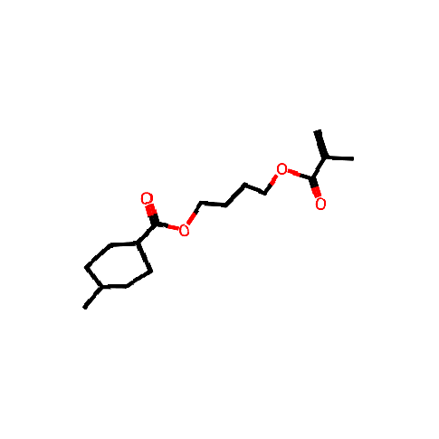 C=C(C)C(=O)OCCCCOC(=O)C1CCC(C)CC1